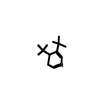 CC(C)(C)C1=CN=CCC1C(C)(C)C